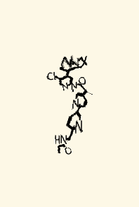 C=CC(=O)NCc1ccc(-c2ccc([C@@H](C)C(=O)N(C)c3cc(-c4cnn5c4CC(C)(C)C5)c(Cl)cn3)cn2)cn1